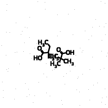 CC(C)(C)C(=O)O.CCC(C)C(=O)O